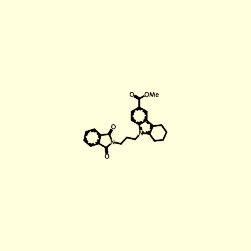 COC(=O)c1ccc2c(c1)c1c(n2CCCN2C(=O)c3ccccc3C2=O)CCCC1